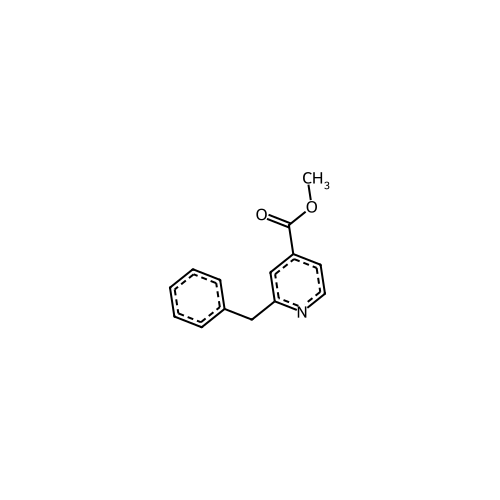 COC(=O)c1ccnc(Cc2ccccc2)c1